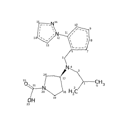 CC(C)CN(Cc1ccccc1-n1cccn1)[C@H]1CCN(C(=O)O)C1